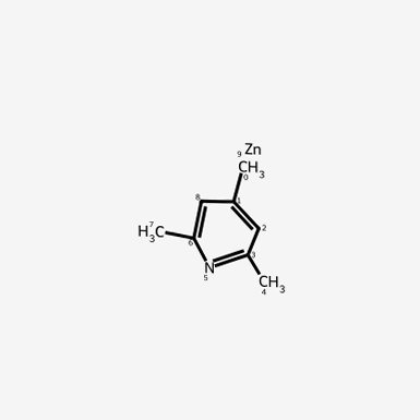 Cc1cc(C)nc(C)c1.[Zn]